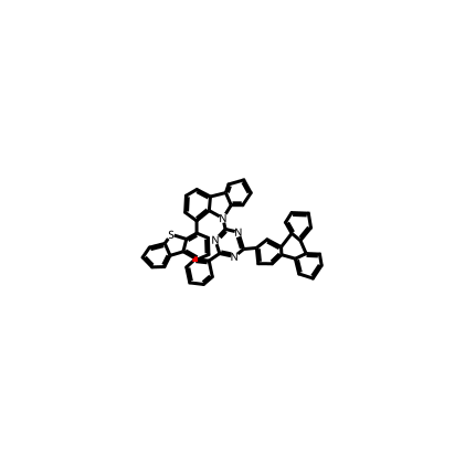 c1ccc(-c2nc(-c3ccc4c5ccccc5c5ccccc5c4c3)nc(-n3c4ccccc4c4cccc(-c5cccc6c5sc5ccccc56)c43)n2)cc1